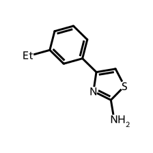 CCc1cccc(-c2csc(N)n2)c1